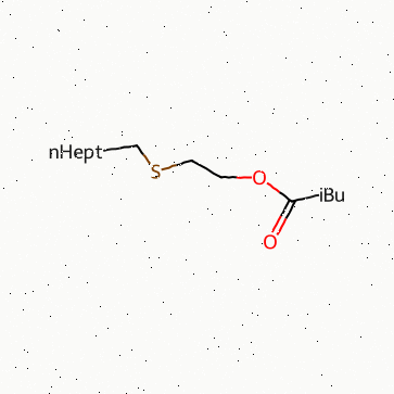 CCCCCCCCSCCOC(=O)C(C)CC